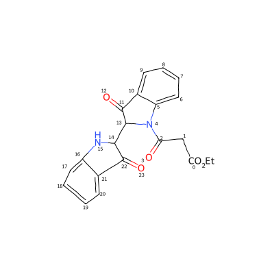 CCOC(=O)CC(=O)N1c2ccccc2C(=O)C1C1Nc2ccccc2C1=O